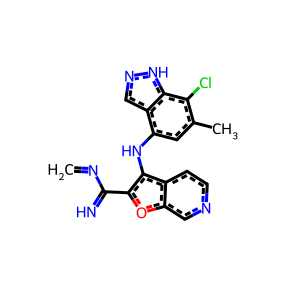 C=NC(=N)c1oc2cnccc2c1Nc1cc(C)c(Cl)c2[nH]ncc12